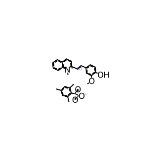 COc1cc(/C=C/c2ccc3ccccc3[n+]2C)ccc1O.Cc1cc(C)c(S(=O)(=O)[O-])c(C)c1